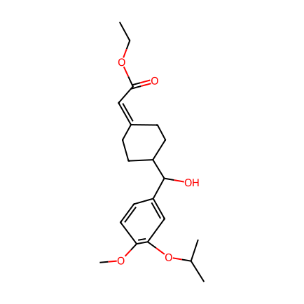 CCOC(=O)C=C1CCC(C(O)c2ccc(OC)c(OC(C)C)c2)CC1